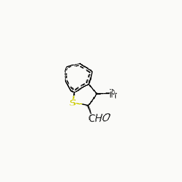 CC(C)C1c2ccccc2SC1C=O